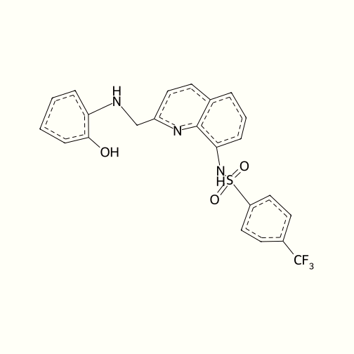 O=S(=O)(Nc1cccc2ccc(CNc3ccccc3O)nc12)c1ccc(C(F)(F)F)cc1